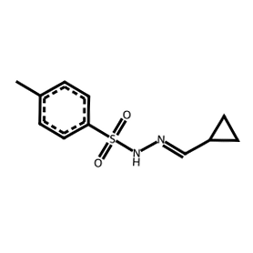 Cc1ccc(S(=O)(=O)N/N=C/C2CC2)cc1